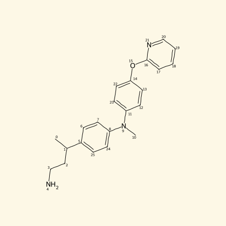 CC(CCN)c1ccc(N(C)c2ccc(Oc3ccccn3)cc2)cc1